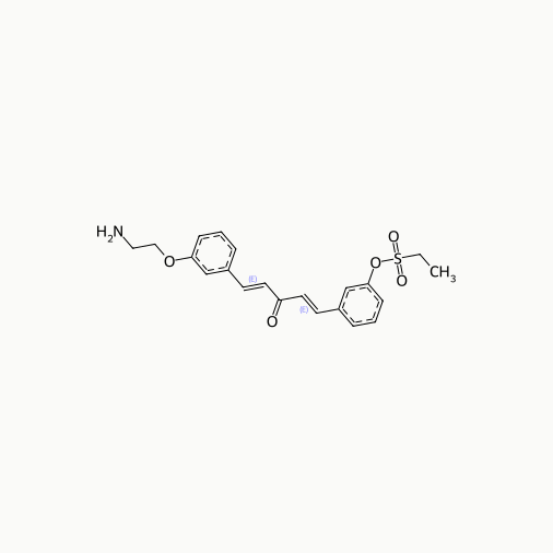 CCS(=O)(=O)Oc1cccc(/C=C/C(=O)/C=C/c2cccc(OCCN)c2)c1